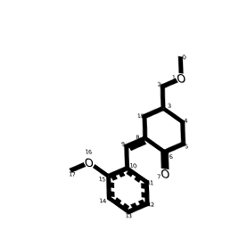 COCC1CCC(=O)/C(=C\c2ccccc2OC)C1